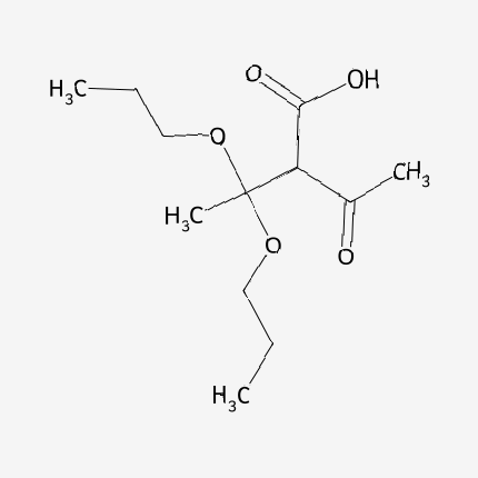 CCCOC(C)(OCCC)C(C(C)=O)C(=O)O